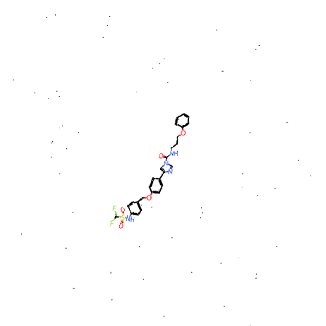 O=C(NCCCOc1ccccc1)n1cnc(-c2ccc(OCc3ccc(NS(=O)(=O)C(F)F)cc3)cc2)c1